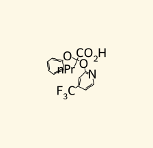 CCCC(Oc1ccccc1)(Oc1cc(C(F)(F)F)ccn1)C(=O)O